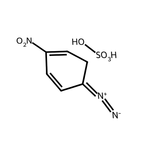 O=S(=O)(O)O.[N-]=[N+]=C1C=CC([N+](=O)[O-])=CC1